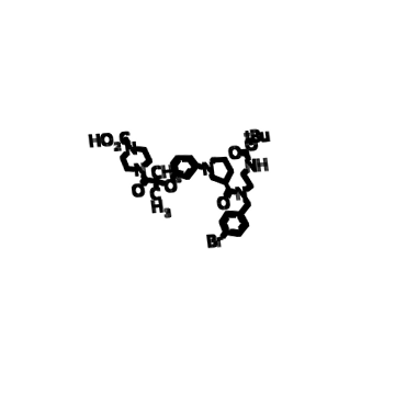 CC(C)(C)OC(=O)NCCN(Cc1ccc(Br)cc1)C(=O)[C@@H]1CCCN(c2cccc(OC(C)(C)C(=O)N3CCN(C(=O)O)CC3)c2)C1